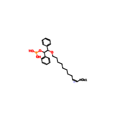 CCCCCCCC/C=C\CCCCCCCCOC(c1ccccc1)C(OP(O)O)c1ccccc1